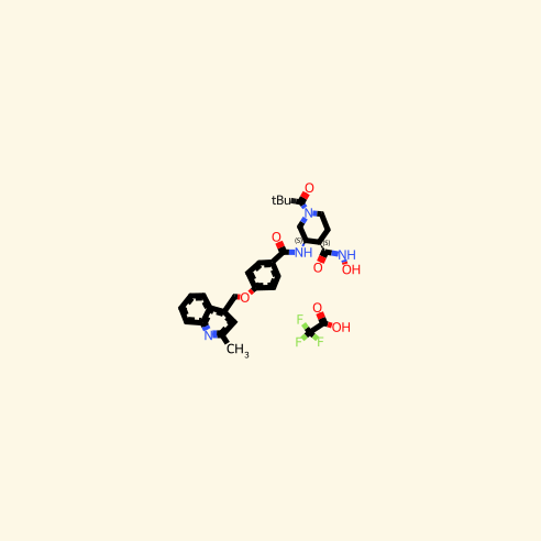 Cc1cc(COc2ccc(C(=O)N[C@@H]3CN(C(=O)C(C)(C)C)CC[C@@H]3C(=O)NO)cc2)c2ccccc2n1.O=C(O)C(F)(F)F